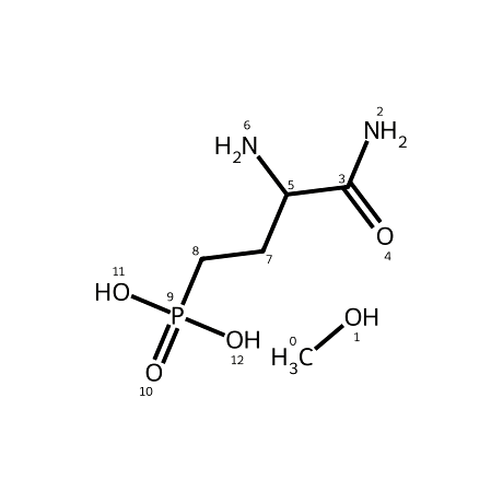 CO.NC(=O)C(N)CCP(=O)(O)O